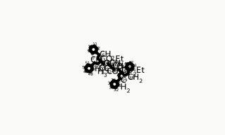 C=C(CC(CC(=C)c1ccccc1)(C(=O)OCC)C(=O)OC(C)(C)C(C)(C)OC(=O)C(CC(=C)c1ccccc1)(CC(=C)c1ccccc1)C(=O)OCC)c1ccccc1